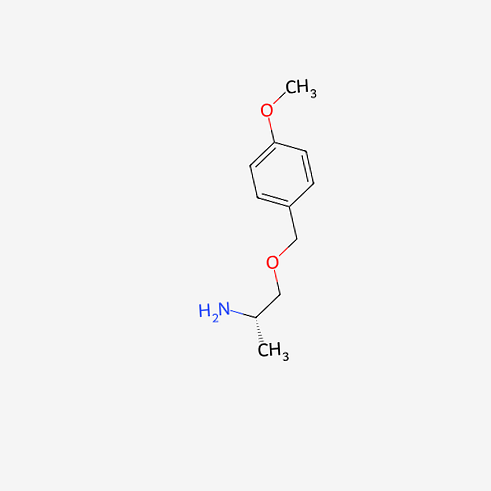 COc1ccc(COC[C@H](C)N)cc1